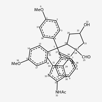 COc1ccc(C(c2ccccc2)(c2ccc(OC)cc2)C2CC(O)C[N+]2(C=O)S(=O)(=O)c2sc(NC(C)=O)nc2C)cc1